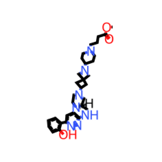 COC(=O)CCCN1CCC(N2CC3(CC(N4CCN5c6cc(-c7ccccc7O)nnc6NC[C@H]5C4)C3)C2)CC1